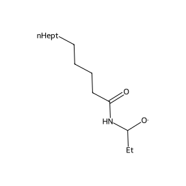 CCCCCCCCCCCC(=O)NC([O])CC